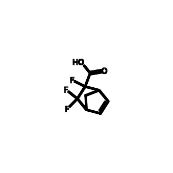 O=C(O)C1(F)C2C=CC(C2)C1(F)F